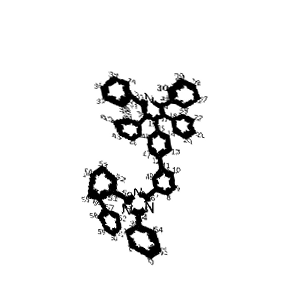 c1ccc(-c2nc(-c3cccc(-c4ccc(-c5c(-c6ccccc6)c(-c6ccccc6)nc(-c6ccccc6)c5-c5ccccc5)cc4)c3)nc(-c3ccccc3-c3ccccc3)n2)cc1